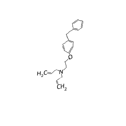 C=CCN(CC=C)CCOc1ccc(Cc2ccccc2)cc1